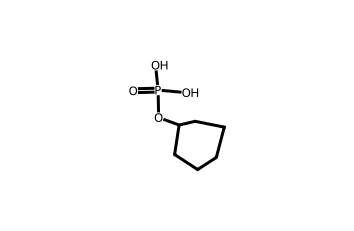 O=P(O)(O)OC1CCCCC1